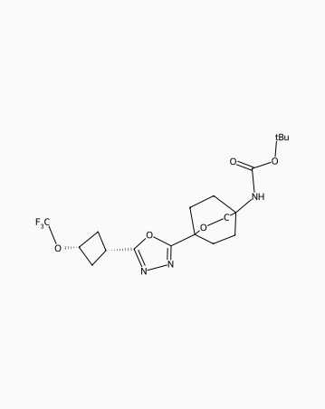 CC(C)(C)OC(=O)NC12CCC(c3nnc([C@H]4C[C@@H](OC(F)(F)F)C4)o3)(CC1)OC2